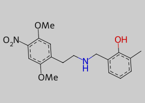 COc1cc([N+](=O)[O-])c(OC)cc1CCNCc1cccc(C)c1O